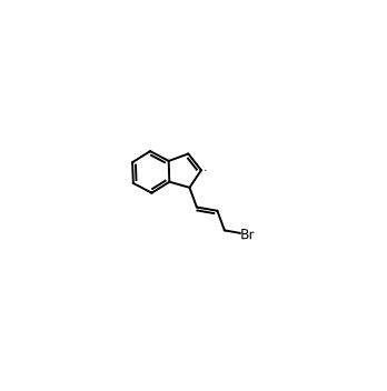 BrCC=CC1[C]=Cc2ccccc21